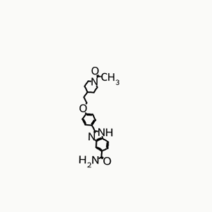 CC(=O)N1CCC(CCOc2ccc(-c3nc4cc(C(N)=O)ccc4[nH]3)cc2)CC1